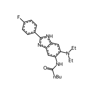 CCCCC(=O)Nc1cc2nc(-c3ccc(F)cc3)[nH]c2cc1N(CC)CC